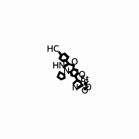 C#Cc1ccc2c(c1)[nH]c1c2c(=O)c2cc(OCC)c(-c3cncc(S(=O)(=O)F)c3)cc2n1C1CCCC1